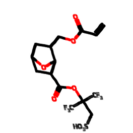 C=CC(=O)OCC1CC2CC(C(=O)OC(CS(=O)(=O)O)(C(F)(F)F)C(F)(F)F)C1O2